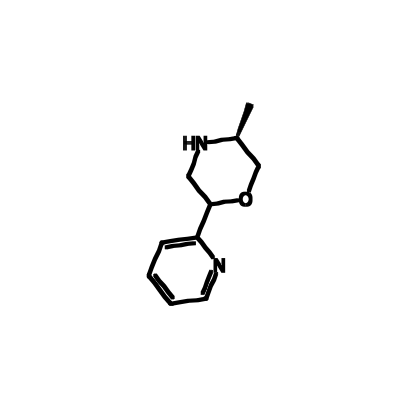 C[C@H]1COC(c2ccccn2)CN1